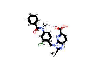 Cc1nc2ccc(C(=O)O)nc2n1Cc1ccc(N(C)C(=O)c2ccccc2)cc1Cl